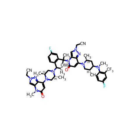 COC(C)(c1cc(F)ccc1C(C)N1C[C@H](C)N(c2cc(=O)n(C)c3cn(CC#N)nc23)C[C@H]1C)n1c(=O)cc(N2C[C@@H](C)C(N(C)c3ccc(F)cc3C(F)(F)F)C[C@@H]2C)c2nn(CC#N)cc21